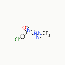 C[C@H]1CN(C2CCN(c3nccc(C(F)(F)F)n3)CC2)[C@@H](Cc2ccc(Cl)cc2)CO1